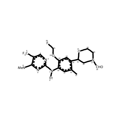 CCN(c1ncc(C(F)(F)F)c(NC)n1)c1cc(C)c(C2CN(C=O)CCO2)cc1OCF